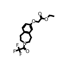 CCOC(=O)COc1ccc2c(c1)CCN(C(=O)C(F)(F)F)CC2